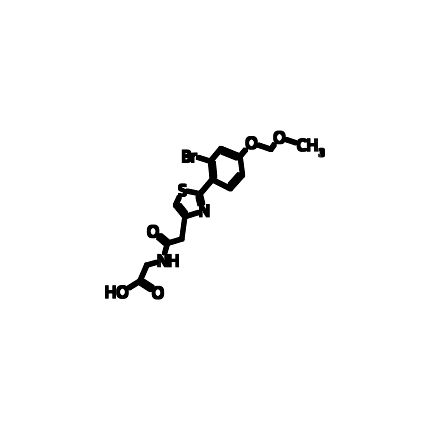 COCOc1ccc(-c2nc(CC(=O)NCC(=O)O)cs2)c(Br)c1